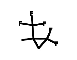 CC1(C(F)(F)F)CC1(F)F